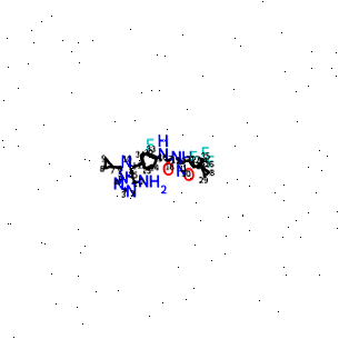 Nc1ncnn2c(C3CC3)nc(-c3ccc(NC(=O)Nc4cc(C5(C(F)(F)F)CC5)on4)c(F)c3)c12